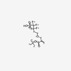 C=C(COCCC(F)(F)C(F)(F)S(=O)(=O)O)C(=O)OC(C)(C)C